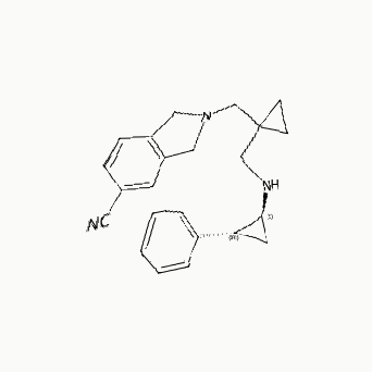 N#Cc1ccc2c(c1)CN(CC1(CN[C@H]3C[C@@H]3c3ccccc3)CC1)C2